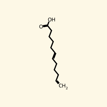 C=CCCCC=CCCCCC(=O)O